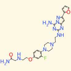 NC(=O)CNCCOc1ccc(N2CCN(CCNc3nc(N)n4nc(-c5ccco5)cc4n3)CC2)c(F)c1